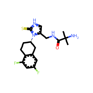 CC(C)(N)C(=O)NCc1c[nH]c(=S)n1[C@H]1CCc2c(F)cc(F)cc2C1